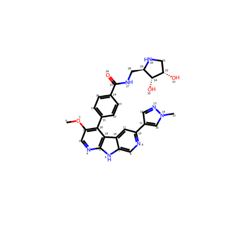 COc1cnc2[nH]c3cnc(-c4cnn(C)c4)cc3c2c1-c1ccc(C(=O)NC[C@H]2NC[C@H](O)[C@@H]2O)cc1